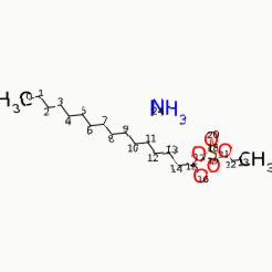 CCCCCCCCCCCCCCCC(=O)OS(=O)(=O)OCC.N